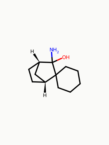 NC1(O)[C@H]2CC[C@H](C2)C12CCCCC2